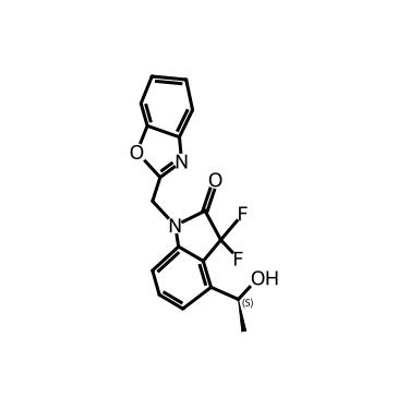 C[C@H](O)c1cccc2c1C(F)(F)C(=O)N2Cc1nc2ccccc2o1